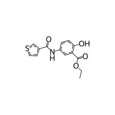 CCOC(=O)c1cc(NC(=O)c2ccsc2)ccc1O